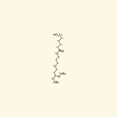 CCCCOC(CCOCCCOC(=O)CCCCC(=O)O)OCCCC